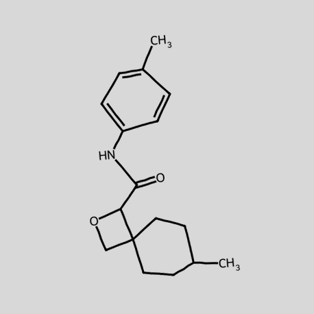 Cc1ccc(NC(=O)C2OCC23CCC(C)CC3)cc1